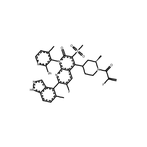 C=C(F)C(=O)N1CCC(c2c(S(C)(=O)=O)c(=O)n(-c3c(C)ccnc3C(C)C)c3nc(-c4c(C)ccc5[nH]ncc45)c(F)cc23)C[C@H]1C